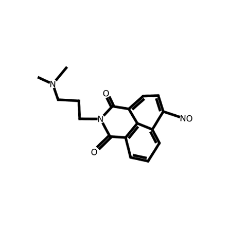 CN(C)CCCN1C(=O)c2cccc3c(N=O)ccc(c23)C1=O